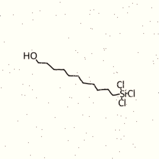 OCCCCCCCCCCC[Si](Cl)(Cl)Cl